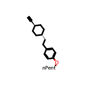 C#C[C@H]1CC[C@H](CCc2ccc(OCCCCC)cc2)CC1